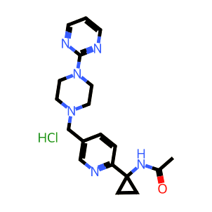 CC(=O)NC1(c2ccc(CN3CCN(c4ncccn4)CC3)cn2)CC1.Cl